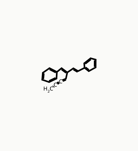 C=C=C=CC(C=Cc1ccccc1)=Cc1ccccc1